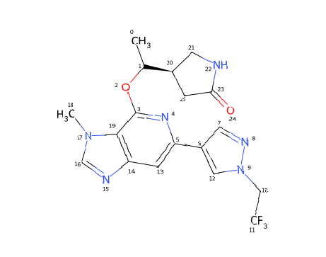 CC(Oc1nc(-c2cnn(CC(F)(F)F)c2)cc2ncn(C)c12)[C@H]1CNC(=O)C1